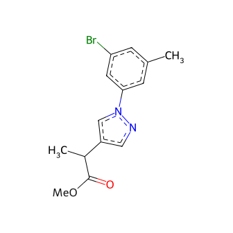 COC(=O)C(C)c1cnn(-c2cc(C)cc(Br)c2)c1